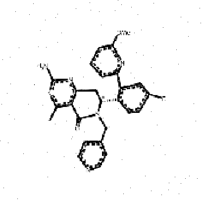 COc1cccc(-c2cc(F)ccc2[C@H]2Cc3nc(N)nc(C)c3C(=O)N2Cc2ccncc2)n1